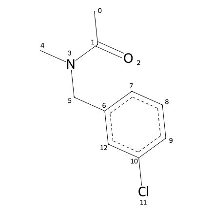 CC(=O)N(C)Cc1cccc(Cl)c1